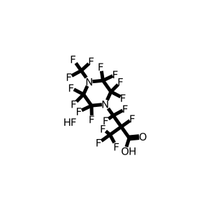 F.O=C(O)C(F)(C(F)(F)F)C(F)(F)N1C(F)(F)C(F)(F)N(C(F)(F)F)C(F)(F)C1(F)F